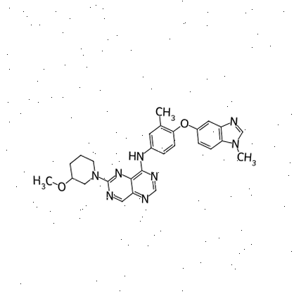 COC1CCCN(c2ncc3ncnc(Nc4ccc(Oc5ccc6c(c5)ncn6C)c(C)c4)c3n2)C1